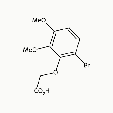 COc1ccc(Br)c(OCC(=O)O)c1OC